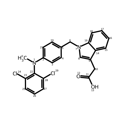 CN(c1ccc(Cn2cc(CC(=O)O)c3ccccc32)cc1)c1c(Cl)cccc1Cl